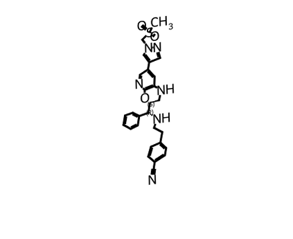 CS(=O)(=O)Cn1cc(-c2cnc3c(c2)NC[C@@H]([C@H](NCCc2ccc(C#N)cc2)c2ccccc2)O3)cn1